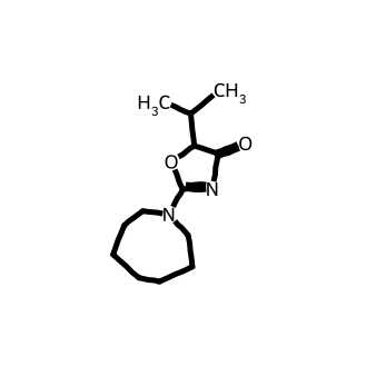 CC(C)C1OC(N2CCCCCCC2)=NC1=O